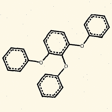 c1ccc(Oc2cccc(Oc3ccccc3)c2Oc2ccccc2)cc1